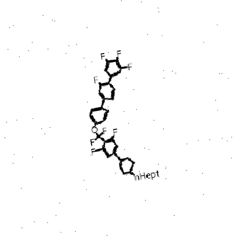 CCCCCCCC1CCC(c2cc(F)c(C(F)(F)Oc3ccc(-c4ccc(-c5cc(F)c(F)c(F)c5)c(F)c4)cc3)c(F)c2)CC1